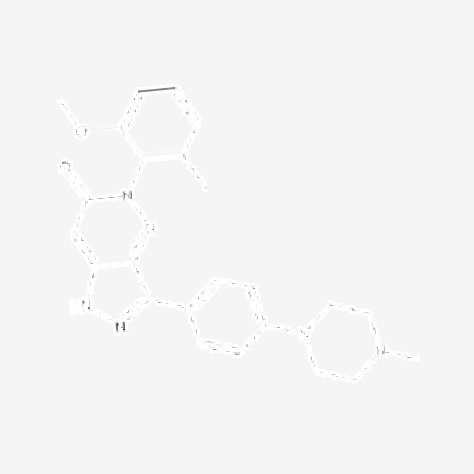 COc1cccc(C)c1-n1nc2c(-c3ccc(N4CCN(C)CC4)cc3)n[nH]c2cc1=O